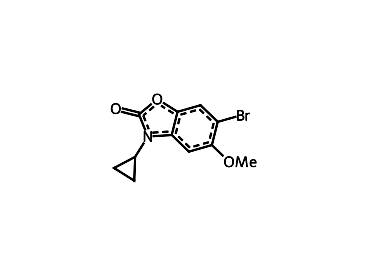 COc1cc2c(cc1Br)oc(=O)n2C1CC1